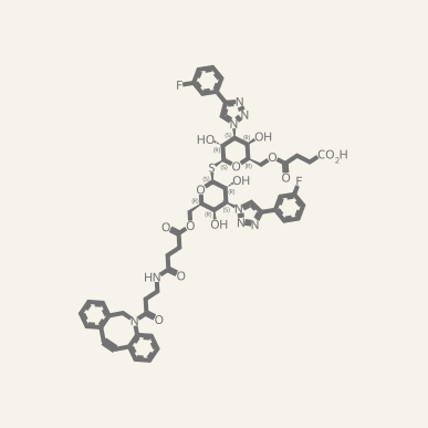 O=C(O)CCC(=O)OC[C@H]1O[C@@H](S[C@@H]2O[C@H](COC(=O)CCC(=O)NCCC(=O)N3Cc4ccccc4C#Cc4ccccc43)[C@H](O)[C@H](n3cc(-c4cccc(F)c4)nn3)[C@H]2O)[C@H](O)[C@@H](n2cc(-c3cccc(F)c3)nn2)[C@H]1O